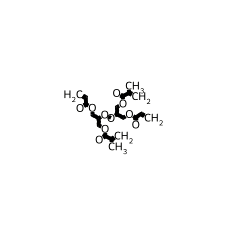 C=CC(=O)OCC(COC(=O)C(=C)C)OOC(COC(=O)C=C)COC(=O)C(=C)C